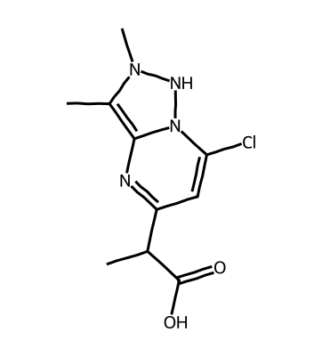 CC1=C2N=C(C(C)C(=O)O)C=C(Cl)N2NN1C